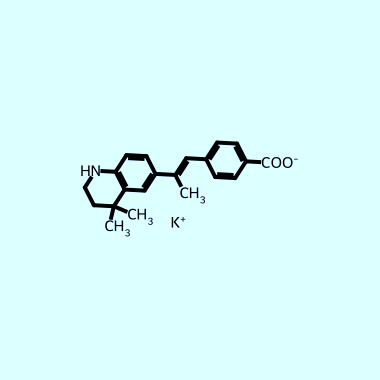 CC(=Cc1ccc(C(=O)[O-])cc1)c1ccc2c(c1)C(C)(C)CCN2.[K+]